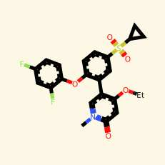 CCOc1cc(=O)n(C)cc1-c1cc(S(=O)(=O)C2CC2)ccc1Oc1ccc(F)cc1F